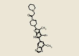 Cc1c(C2CCN(C(=O)CN3CCCCC3)CC2)sc2[nH]c(-c3cc(C)c4ncnn4c3)c(C(C)C)c12